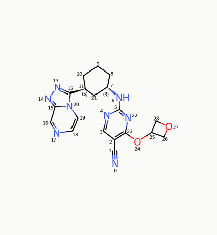 N#Cc1cnc(N[C@@H]2CCC[C@H](c3nnc4cnccn34)C2)nc1OC1COC1